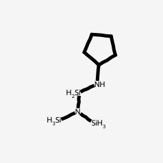 [SiH3]N([SiH3])[SiH2]NC1CCCC1